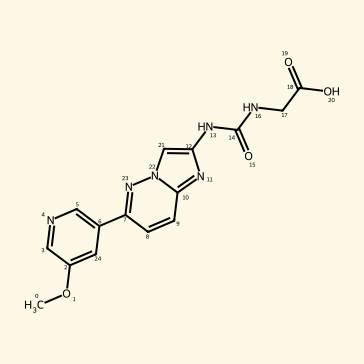 COc1cncc(-c2ccc3nc(NC(=O)NCC(=O)O)cn3n2)c1